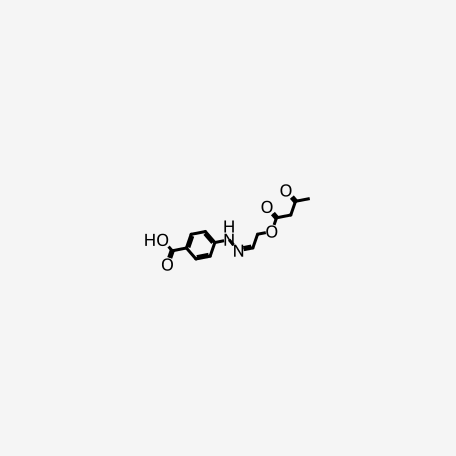 CC(=O)CC(=O)OC/C=N\Nc1ccc(C(=O)O)cc1